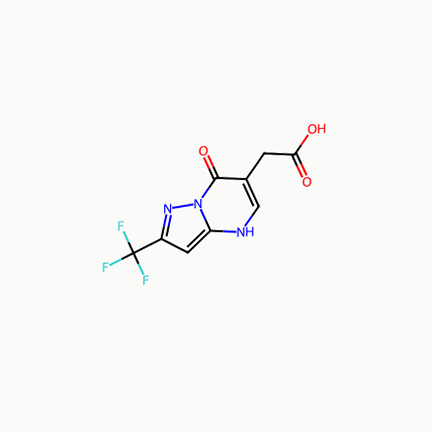 O=C(O)Cc1c[nH]c2cc(C(F)(F)F)nn2c1=O